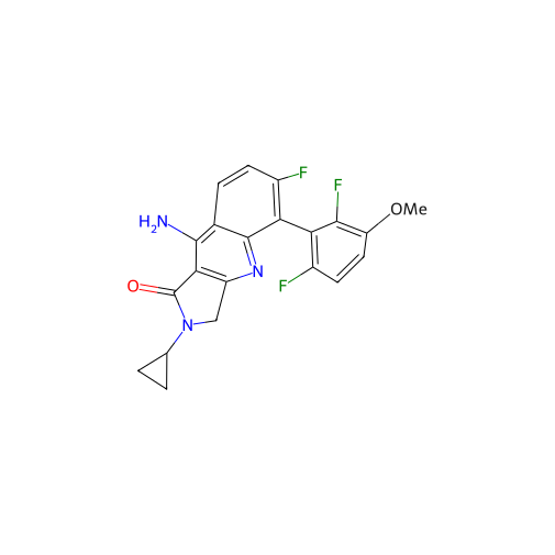 COc1ccc(F)c(-c2c(F)ccc3c(N)c4c(nc23)CN(C2CC2)C4=O)c1F